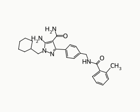 Cc1ccccc1C(=O)NCc1ccc(-c2nn(CC3CCCCC3)c(N)c2C(N)=O)cc1